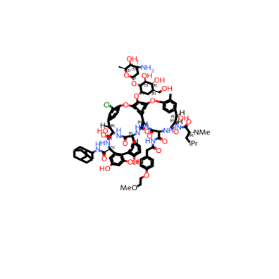 CN[C@H](CC(C)C)C(=O)N[C@H]1C(=O)NC(C(=O)NC(=O)Cc2ccc(OCCOC)cc2)C(=O)N[C@H]2C(=O)N[C@H]3C(=O)N[C@H](C(=O)N[C@H](C(=O)NC4C5CC6CC(C5)CC4C6)c4cc(O)cc(O)c4-c4cc3ccc4O)[C@H](O)c3ccc(c(Cl)c3)Oc3cc2cc(c3O[C@@H]2C[C@H](CO)[C@@H](O)[C@H](O)[C@H]2O[C@H]2C[C@](C)(N)[C@H](O)[C@H](C)O2)Oc2ccc(cc2C)[C@H]1O